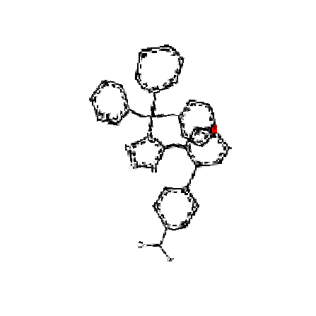 BrC(Br)c1ccc(-c2ccccc2-c2nnnn2C(c2ccccc2)(c2ccccc2)c2ccccc2)cc1